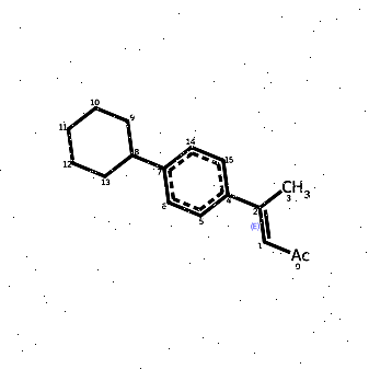 CC(=O)/C=C(\C)c1ccc(C2CCCCC2)cc1